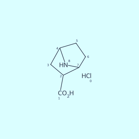 Cl.O=C(O)C1CC2CCC1N2